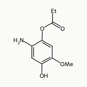 CCC(=O)Oc1cc(OC)c(O)cc1N